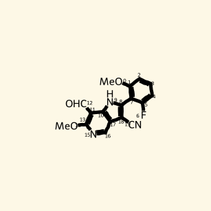 COc1cccc(F)c1-c1[nH]c2c(C=O)c(OC)ncc2c1C#N